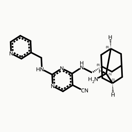 N#Cc1cnc(NCc2cccnc2)nc1NC[C@@]12CC3C[C@H](C1)[C@@H](N)[C@@H](C3)C2